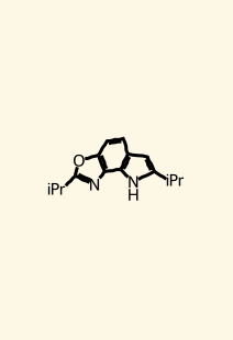 CC(C)c1cc2ccc3oc(C(C)C)nc3c2[nH]1